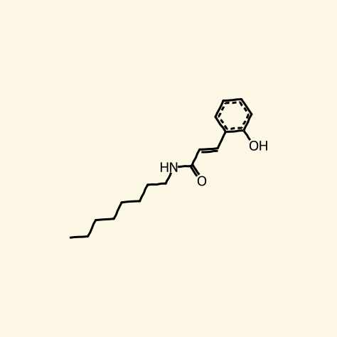 CCCCCCCCNC(=O)C=Cc1ccccc1O